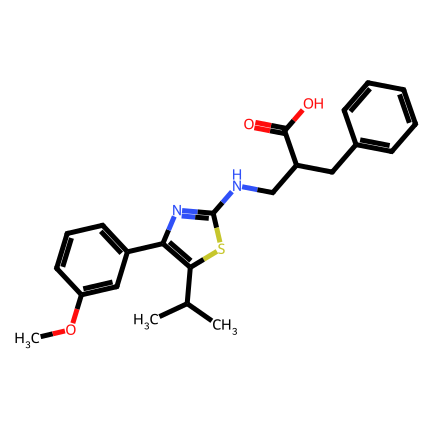 COc1cccc(-c2nc(NCC(Cc3ccccc3)C(=O)O)sc2C(C)C)c1